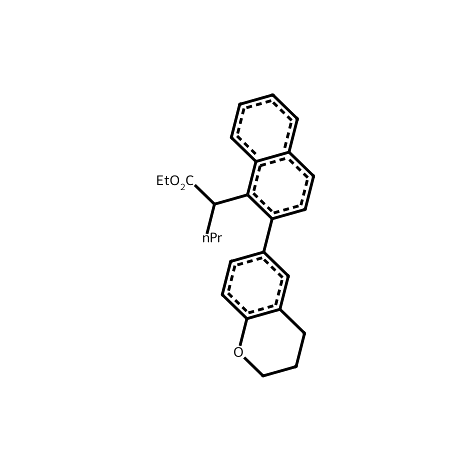 CCCC(C(=O)OCC)c1c(-c2ccc3c(c2)CCCO3)ccc2ccccc12